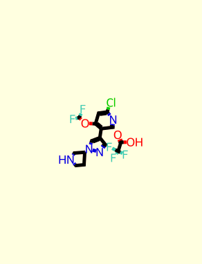 FC(F)Oc1cc(Cl)ncc1-c1cnn(C2CCNC2)c1.O=C(O)C(F)(F)F